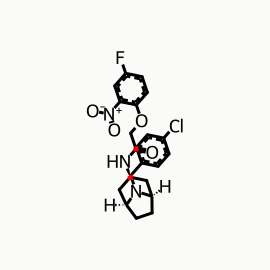 O=C(COc1ccc(F)cc1[N+](=O)[O-])N[C@H]1C[C@H]2CC[C@@H](C1)N2Cc1ccc(Cl)cc1